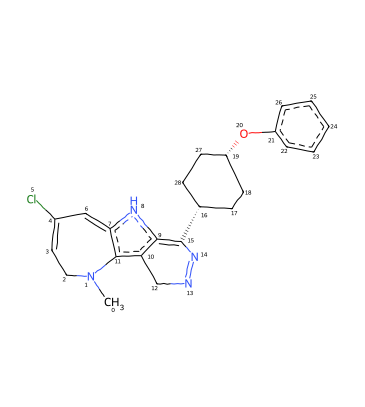 CN1CC=C(Cl)C=c2[nH]c3c(c21)CN=NC=3[C@H]1CC[C@@H](Oc2ccccc2)CC1